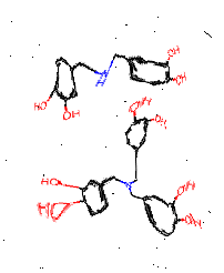 Oc1ccc(CN(Cc2ccc(O)c(O)c2)Cc2ccc(O)c(O)c2)cc1O.Oc1ccc(CNCc2ccc(O)c(O)c2)cc1O